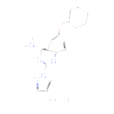 CN(C)c1nc(-n2cc(C(=O)O)cn2)nc2ccc(OC3CCCCC3)cc12